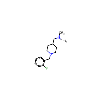 CN(C)CC1CCN(Cc2ccccc2F)CC1